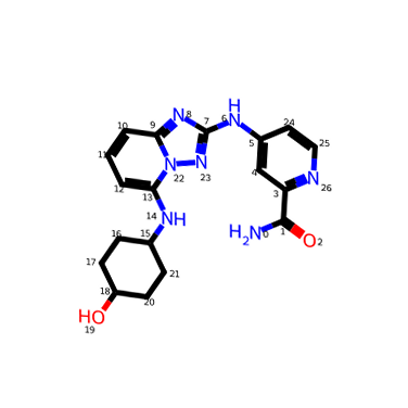 NC(=O)c1cc(Nc2nc3cccc(NC4CCC(O)CC4)n3n2)ccn1